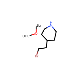 BrCCC1CCNCC1.CC(C)(C)OC=O